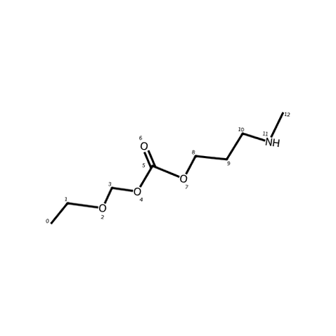 CCOCOC(=O)OCCCNC